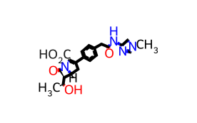 C[C@@H](O)[C@H]1C(=O)N2C(C(=O)O)=C(c3ccc(CC(=O)NC4CN(C)C=N4)cc3)C[C@H]12